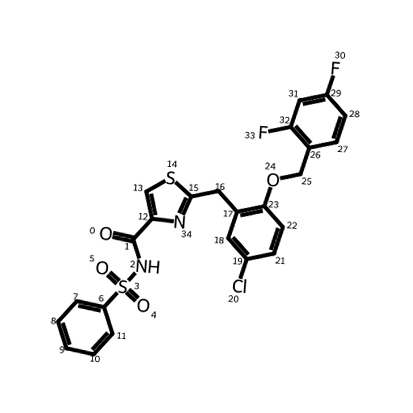 O=C(NS(=O)(=O)c1ccccc1)c1csc(Cc2cc(Cl)ccc2OCc2ccc(F)cc2F)n1